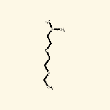 [CH2]COCCOCCN(C)C